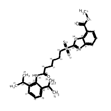 COC(=O)c1cccc2nc(S(=O)(=S)CCCCCC(=O)Nc3c(C(C)C)cccc3C(C)C)oc12